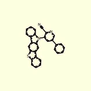 N#Cc1ncc(-c2ccccc2)cc1-n1c2ccccc2c2cc3sc4ccccc4c3cc21